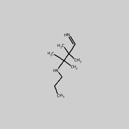 CCCNC(C)(C)C(C)(C)C=N